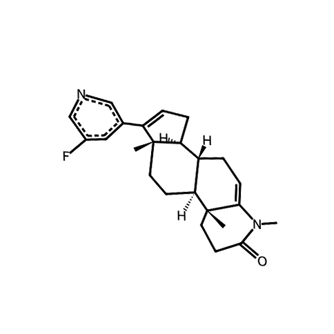 CN1C(=O)CC[C@@]2(C)C1=CC[C@@H]1[C@@H]2CC[C@]2(C)C(c3cncc(F)c3)=CC[C@@H]12